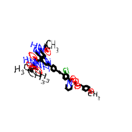 CCC(=O)Nc1cc2nc(-c3ccc(C#Cc4ccc(C(=O)N5CCCC[C@H]5C(=O)OCc5ccc(OC)cc5)cc4Cl)cc3)cc(C(=O)NNC(=O)OC(C)(C)C)c2cn1